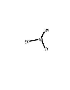 C[CH2][Sn]([CH](C)C)[CH](C)C